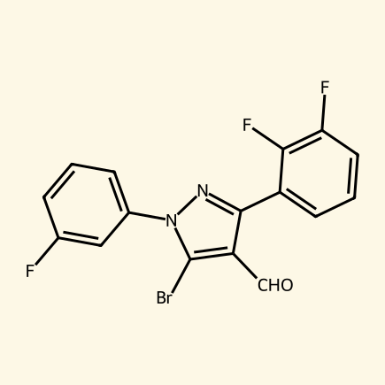 O=Cc1c(-c2cccc(F)c2F)nn(-c2cccc(F)c2)c1Br